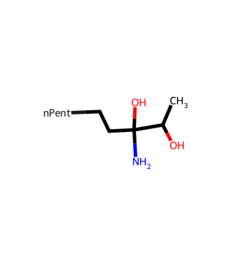 CCCCCCCC(N)(O)C(C)O